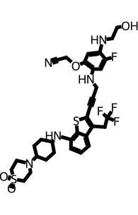 N#CCOc1cc(NCCO)c(F)cc1NCC#Cc1sc2c(NC3CCC(N4CCS(=O)(=O)CC4)CC3)cccc2c1CC(F)(F)F